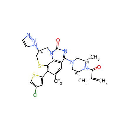 C=CC(=O)N1[C@H](C)CN(c2nc(=O)n3c4c(c(-c5cc(Cl)cs5)c(C(F)(F)F)cc24)SC[C@@H](n2ccnn2)C3)C[C@@H]1C